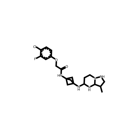 CC1CNN2CCC(NC34CC(NC(=O)COc5ccc(Cl)c(F)c5)(C3)C4)NC12